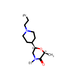 CCN1C[C@@H](C2CCN(CCC(C)C)CC2)O[C@@H](C)C1=O